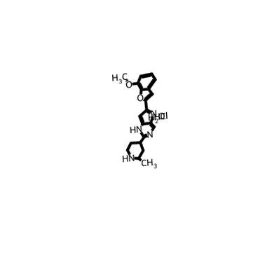 COc1cccc2cc(-c3cc4[nH]c(C5CCNC(C)C5)ncc-4n3)oc12.Cl.O